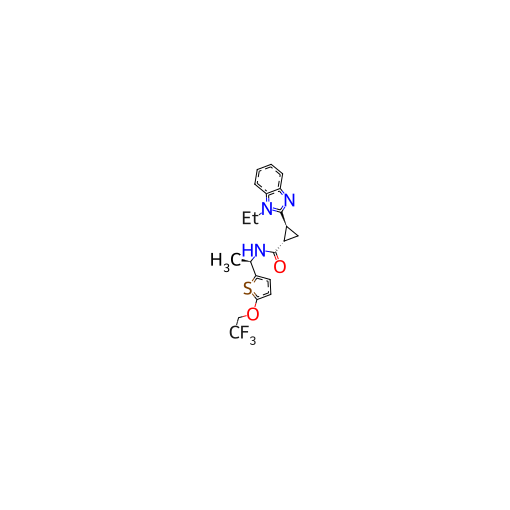 CCn1c([C@H]2C[C@@H]2C(=O)N[C@H](C)c2ccc(OCC(F)(F)F)s2)nc2ccccc21